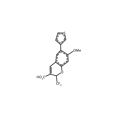 COc1cc2c(cc1-c1ccsc1)C=C(C(=O)O)C(C(F)(F)F)O2